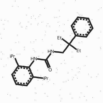 CCC(CC)(CNC(=O)Nc1c(C(C)C)cccc1C(C)C)c1ccccc1